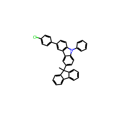 CC1(c2ccc3c(c2)c2cc(-c4ccc(Cl)cc4)ccc2n3-c2ccccc2)c2ccccc2-c2ccccc21